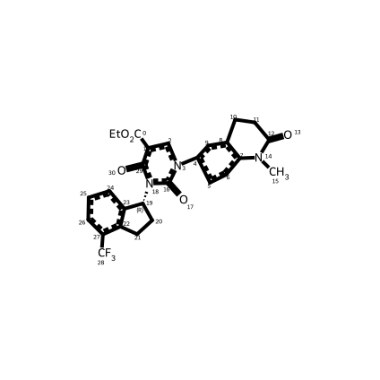 CCOC(=O)c1cn(-c2ccc3c(c2)CCC(=O)N3C)c(=O)n([C@@H]2CCc3c2cccc3C(F)(F)F)c1=O